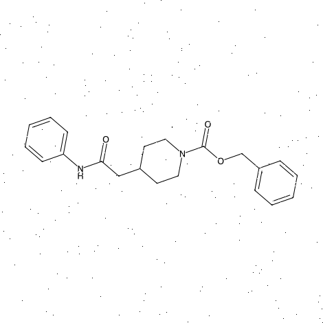 O=C(CC1CCN(C(=O)OCc2ccccc2)CC1)Nc1ccccc1